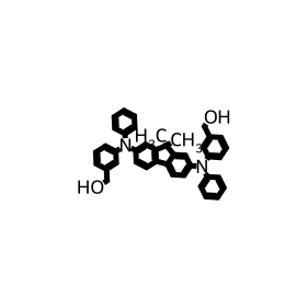 CC1(C)c2cc(N(c3ccccc3)c3cccc(CO)c3)ccc2-c2ccc(N(c3ccccc3)c3cccc(CO)c3)cc21